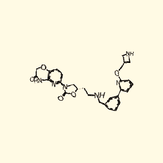 O=C1COc2ccc(N3C[C@H](CCNCc4cccc(-c5cccc(OC6CNC6)n5)c4)OC3=O)nc2N1